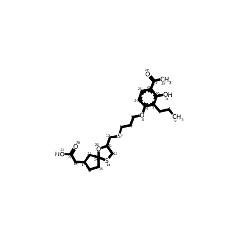 CCCc1c(OCCCSCC2CSC3(CCC(CC(=O)O)C3)O2)ccc(C(C)=O)c1O